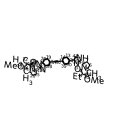 CC[C@H](C(=O)N1CCC[C@H]1c1nc(-c2ccc(C#Cc3ccc4[nH]c([C@@H]5CCCN5C(=O)[C@@H](C)[C@@H](C)OC)nc4c3)cc2)c[nH]1)[C@@H](C)OC